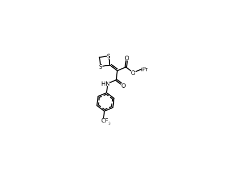 CC(C)OC(=O)C(C(=O)Nc1ccc(C(F)(F)F)cc1)=C1SCS1